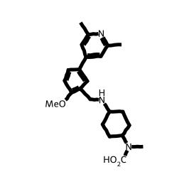 COc1ccc(-c2cc(C)nc(C)c2)cc1CNC1CCC(N(C)C(=O)O)CC1